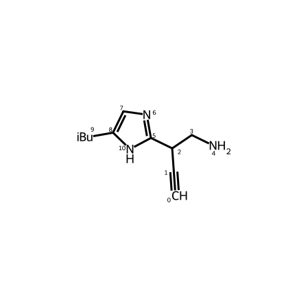 C#CC(CN)c1ncc(C(C)CC)[nH]1